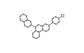 Clc1ccc(-c2ccc3c(c2)cc(-c2ccc4ccccc4c2)c2ccccc23)cc1